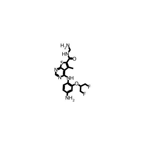 Cc1c(C(=O)NCN)sc2ncnc(Nc3ccc(N)cc3OC(CF)CF)c12